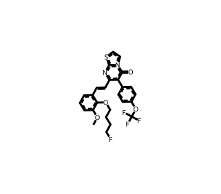 COc1cccc(C=Cc2nc3sccn3c(=O)c2-c2ccc(OC(F)(F)F)cc2)c1OCCCCF